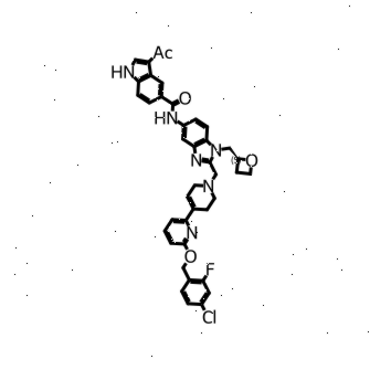 CC(=O)c1c[nH]c2ccc(C(=O)Nc3ccc4c(c3)nc(CN3CC=C(c5cccc(OCc6ccc(Cl)cc6F)n5)CC3)n4C[C@@H]3CCO3)cc12